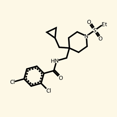 CCS(=O)(=O)N1CCC(CNC(=O)c2ccc(Cl)cc2Cl)(CC2CC2)CC1